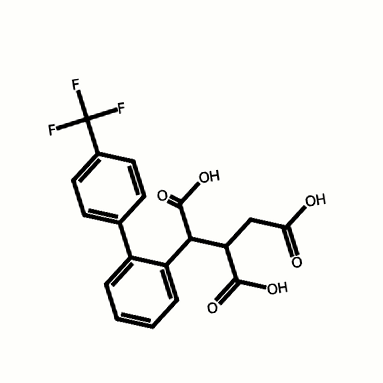 O=C(O)CC(C(=O)O)C(C(=O)O)c1ccccc1-c1ccc(C(F)(F)F)cc1